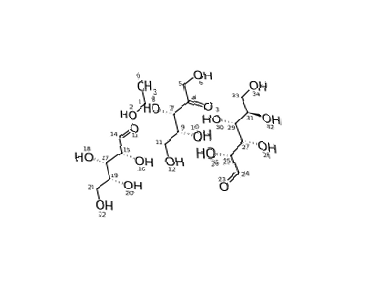 CCO.O=C(CO)[C@@H](O)[C@H](O)CO.O=C[C@H](O)[C@@H](O)[C@H](O)CO.O=C[C@H](O)[C@@H](O)[C@H](O)[C@H](O)CO